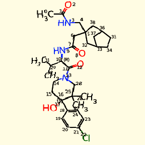 CC(=O)NCC1(CC(=O)N[C@@H](C(=O)N2CC[C@](O)(c3ccc(Cl)cc3)C(C)(C)C2)C(C)C)CC2CCC(C2)C1